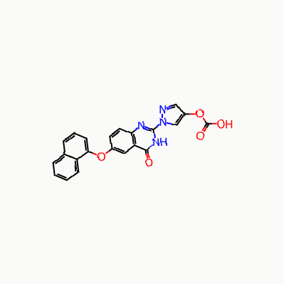 O=C(O)Oc1cnn(-c2nc3ccc(Oc4cccc5ccccc45)cc3c(=O)[nH]2)c1